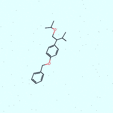 CC(C)OCC(c1ccc(OCc2ccccc2)cc1)C(C)C